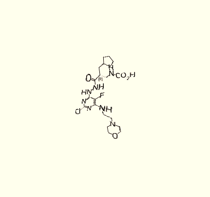 O=C(O)NC[C@@H](CC1CCCC1)C(=O)NNc1nc(Cl)nc(NCCN2CCOCC2)c1F